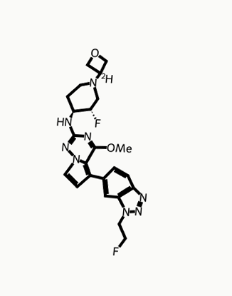 [2H]C1(N2CC[C@H](Nc3nc(OC)c4c(-c5ccc6nnn(CCF)c6c5)ccn4n3)[C@@H](F)C2)COC1